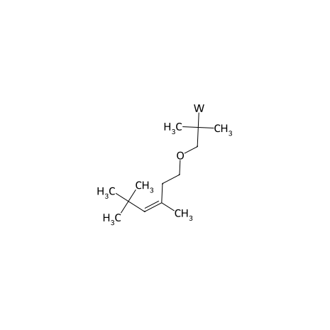 C/C(=C/C(C)(C)C)CCOC[C](C)(C)[W]